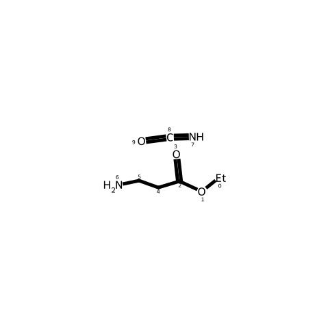 CCOC(=O)CCN.N=C=O